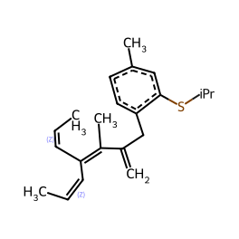 C=C(Cc1ccc(C)cc1SC(C)C)C(C)=C(/C=C\C)/C=C\C